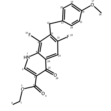 CCOC(=O)c1c[nH]c2c(F)c(Cc3ccc(OC)cc3)c(F)cc2c1=O